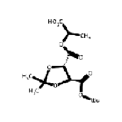 CC(OC(=O)[C@H]1OC(C)(C)O[C@@H]1C(=O)OC(C)(C)C)C(=O)O